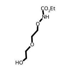 CCOC(=O)NOCCOCCO